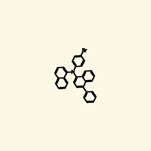 Brc1ccc(N(c2cccc3ccccc23)c2ccc(-c3ccccc3)c3ccccc23)cc1